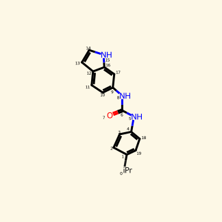 CC(C)c1ccc(NC(=O)Nc2ccc3cc[nH]c3c2)cc1